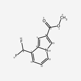 COC(=O)c1cc2c(C(F)F)cccn2c1